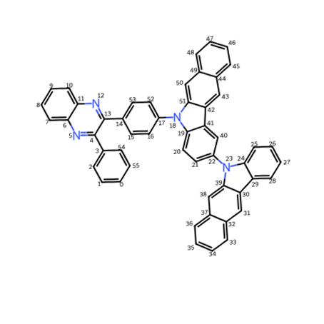 c1ccc(-c2nc3ccccc3nc2-c2ccc(-n3c4ccc(-n5c6ccccc6c6cc7ccccc7cc65)cc4c4cc5ccccc5cc43)cc2)cc1